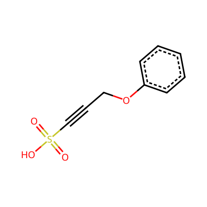 O=S(=O)(O)C#CCOc1ccccc1